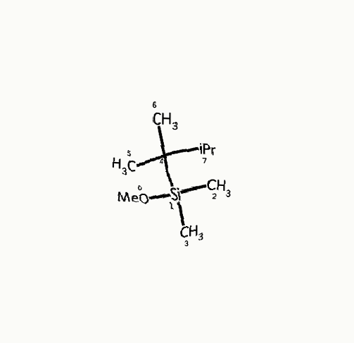 CO[Si](C)(C)C(C)(C)C(C)C